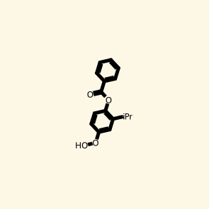 CC(C)c1cc(OO)ccc1OC(=O)c1ccccc1